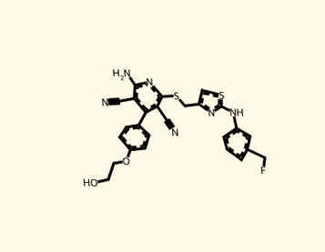 N#Cc1c(N)nc(SCc2csc(Nc3cccc(CF)c3)n2)c(C#N)c1-c1ccc(OCCO)cc1